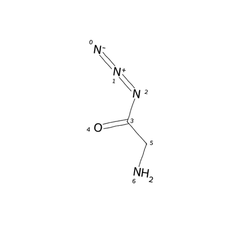 [N-]=[N+]=NC(=O)CN